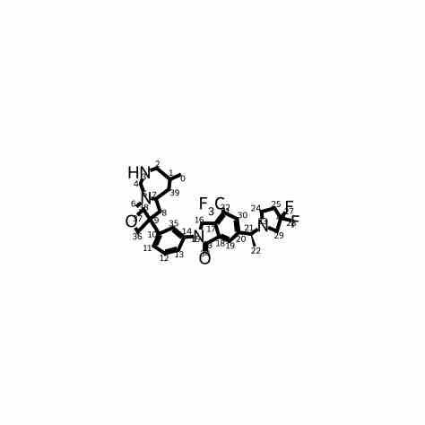 CC1CNCN(C)C(CC2(c3cccc(N4Cc5c(cc([C@H](C)N6CCC(F)(F)C6)cc5C(F)(F)F)C4=O)c3)COC2)C1